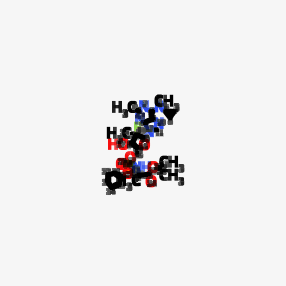 Cc1nc(N(C)C2CC2)c2ncn([C@@H]3O[C@H](CO[P@@](=O)(N[C@@H](C)C(=O)OC(C)C)Oc4ccccc4)[C@@H](O)[C@@]3(C)F)c2n1